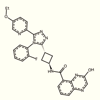 CCOc1ccc(-c2nnc([C@H]3C[C@H](NC(=O)c4cccc5ncc(O)nc45)C3)n2-c2ccccc2F)nc1